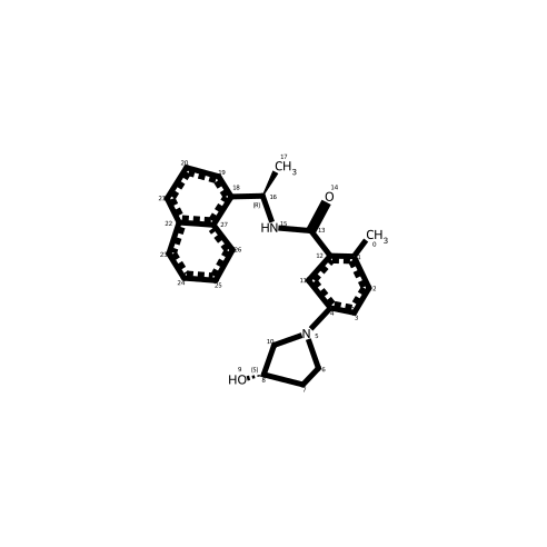 Cc1ccc(N2CC[C@H](O)C2)cc1C(=O)N[C@H](C)c1cccc2ccccc12